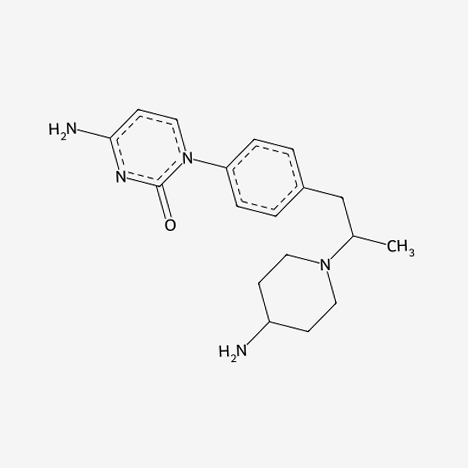 CC(Cc1ccc(-n2ccc(N)nc2=O)cc1)N1CCC(N)CC1